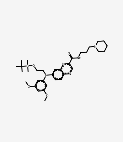 COc1cc(OC)cc(N(CCO[Si](C)(C)C(C)(C)C)c2ccc3ncc(C(=O)NCCCN4CCCCC4)nc3c2)c1